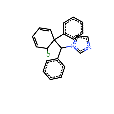 ClC1C=CC=CC1(c1ccccc1)C(c1ccccc1)n1ccnc1